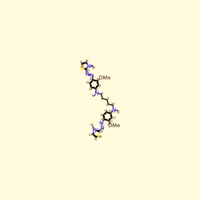 COc1cc(N(C)CCCCCN(C)c2ccc(/N=N/c3scc[n+]3C)c(OC)c2)ccc1/N=N/c1scc[n+]1C